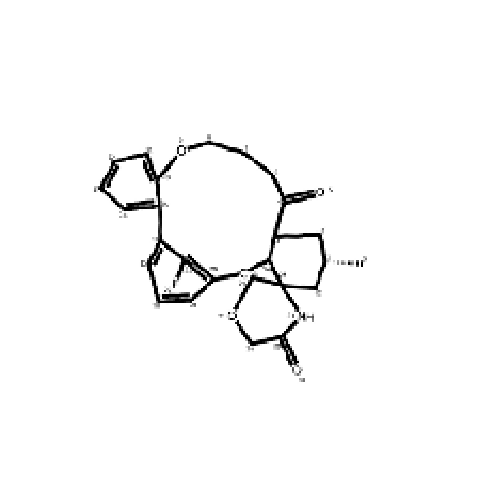 C[C@H]1CC2C(=O)CCCOc3ccccc3-c3cccc(c3F)CC2C2(COCC(=O)N2)C1